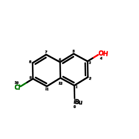 CCC(C)c1cc(O)cc2ccc(Cl)cc12